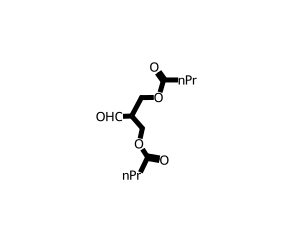 CCCC(=O)OCC(C=O)COC(=O)CCC